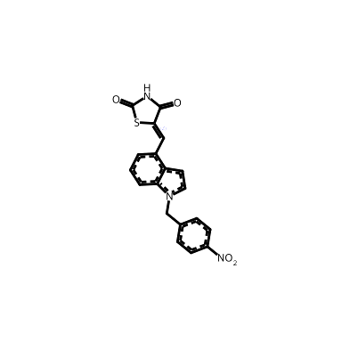 O=C1NC(=O)/C(=C/c2cccc3c2ccn3Cc2ccc([N+](=O)[O-])cc2)S1